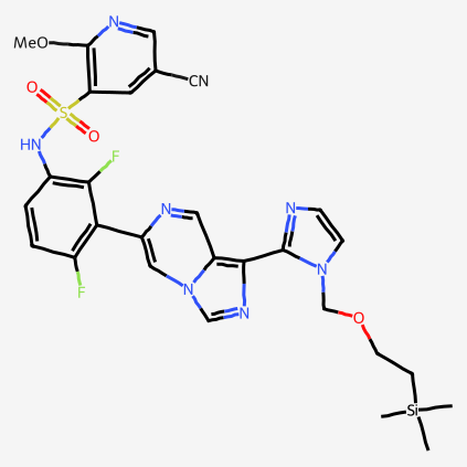 COc1ncc(C#N)cc1S(=O)(=O)Nc1ccc(F)c(-c2cn3cnc(-c4nccn4COCC[Si](C)(C)C)c3cn2)c1F